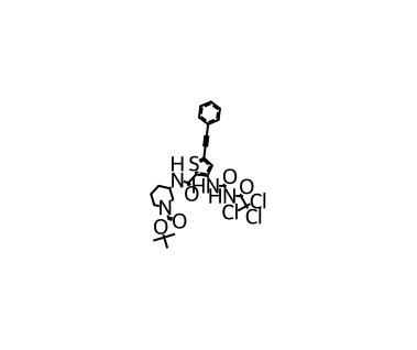 CC(C)(C)OC(=O)N1CCC[C@H](NC(=O)c2sc(C#Cc3ccccc3)cc2NC(=O)NC(=O)C(Cl)(Cl)Cl)C1